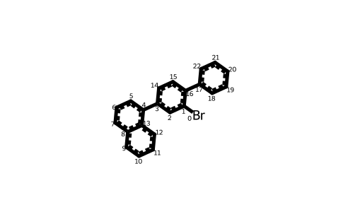 Brc1cc(-c2cccc3ccccc23)ccc1-c1ccccc1